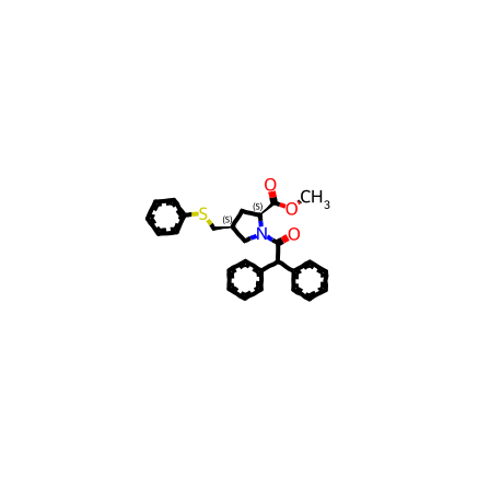 COC(=O)[C@@H]1C[C@H](CSc2ccccc2)CN1C(=O)C(c1ccccc1)c1ccccc1